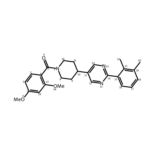 COc1ccc(C(=O)N2CCC(c3cnc(-c4cccc(C)c4C)nc3)CC2)c(OC)c1